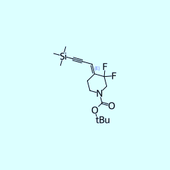 CC(C)(C)OC(=O)N1CC/C(=C\C#C[Si](C)(C)C)C(F)(F)C1